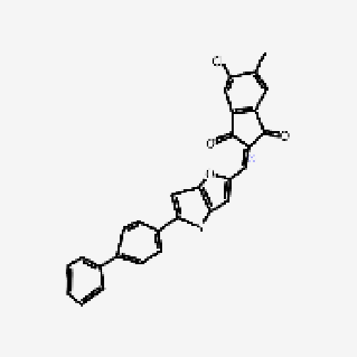 Cc1cc2c(cc1Cl)C(=O)/C(=C\c1cc3sc(-c4ccc(-c5ccccc5)cc4)cc3o1)C2=O